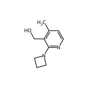 Cc1ccnc(N2CCC2)c1CO